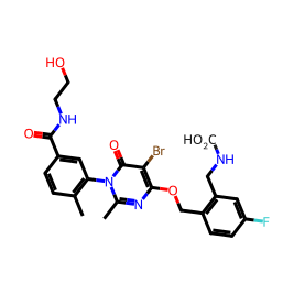 Cc1ccc(C(=O)NCCO)cc1-n1c(C)nc(OCc2ccc(F)cc2CNC(=O)O)c(Br)c1=O